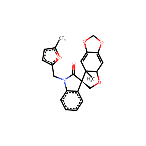 CC12C=C3OCOC3=CC1OC[C@@]21C(=O)N(Cc2ccc(C(F)(F)F)o2)c2ccccc21